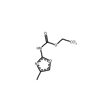 Cc1coc(NC(=O)OCC(Cl)(Cl)Cl)n1